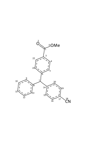 COC(=O)c1ccc(C(c2ccccc2)c2ccc(C#N)cc2)cc1